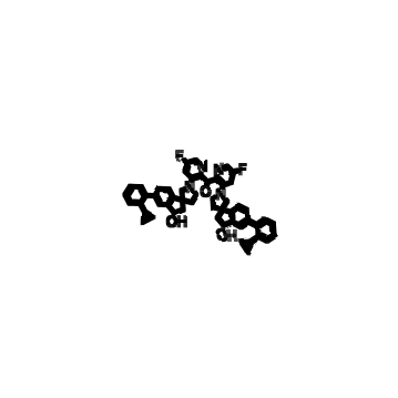 O=C(c1ncc(F)cc1N1CCC2(C[C@@H](O)c3cc(-c4ccccc4C4CC4)ccc32)C1)c1ncc(F)cc1N1CCC2(C[C@@H](O)c3cc(-c4ccccc4C4CC4)ccc32)C1